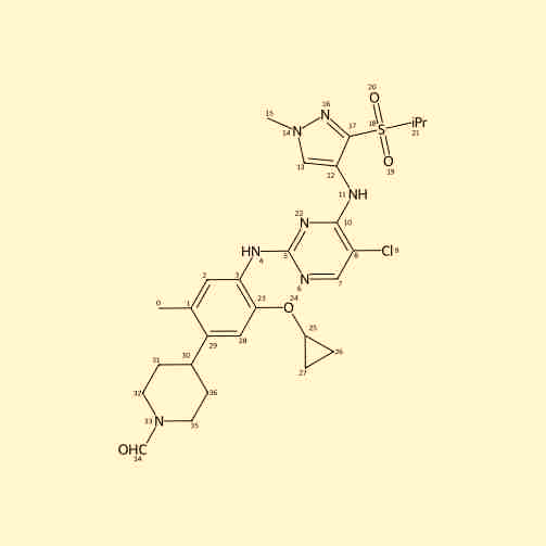 Cc1cc(Nc2ncc(Cl)c(Nc3cn(C)nc3S(=O)(=O)C(C)C)n2)c(OC2CC2)cc1C1CCN(C=O)CC1